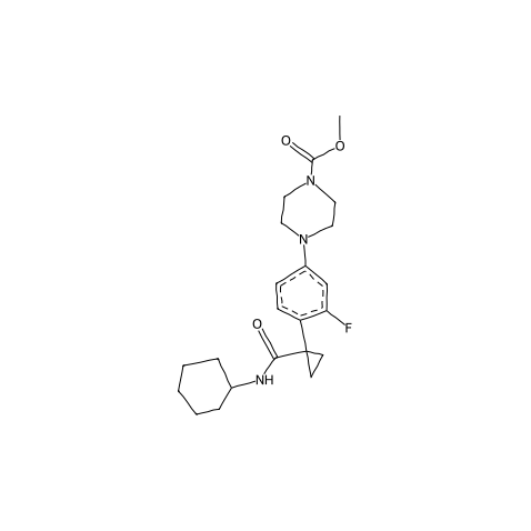 COC(=O)N1CCN(c2ccc(C3(C(=O)NC4CCCCC4)CC3)c(F)c2)CC1